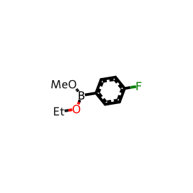 CCOB(OC)c1ccc(F)cc1